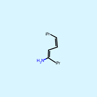 CC(C)/C=C\C=C(\N)C(C)C